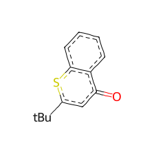 CC(C)(C)c1cc(=O)c2ccccc2s1